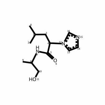 CC(C)CC(C(=O)NC(C)CO)n1ccnc1